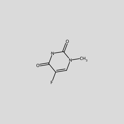 CN1C=C(F)C(=O)[N]C1=O